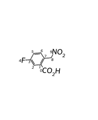 O=C(O)c1cc(F)ccc1C[N+](=O)[O-]